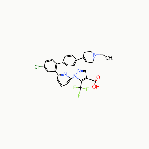 CCN1CC=C(c2ccc(-c3ccc(Cl)cc3-c3cccc(-n4ncc(C(=O)O)c4C(F)(F)F)n3)cc2)CC1